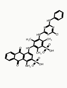 Cc1c(Nc2nc(Cl)nc(Nc3ccccc3)n2)c(C)c(S(=O)(=O)O)c(C)c1Nc1cc(S(=O)(=O)O)c(N)c2c1C(=O)c1ccccc1C2=O